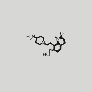 Cl.Cn1c(=O)ccc2ccc(F)c(CCN3CCC(N)CC3)c21